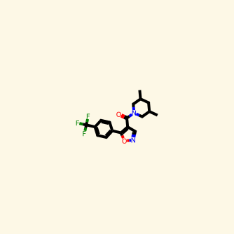 CC1CC(C)CN(C(=O)c2cnoc2-c2ccc(C(F)(F)F)cc2)C1